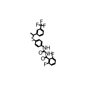 CC(Sc1ccc(NC(=O)NC(=O)c2c(F)cccc2F)cc1)c1cccc(C(F)(F)F)c1